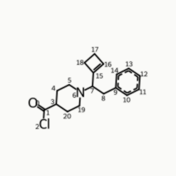 O=C(Cl)C1CCN(C(Cc2ccccc2)C2=CCC2)CC1